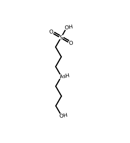 O=S(=O)(O)CCC[AsH]CCCO